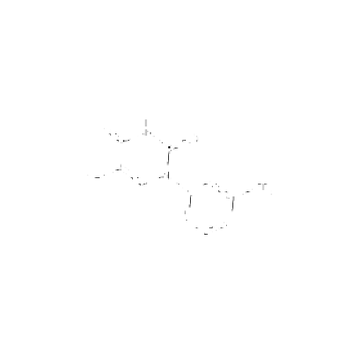 O=c1[nH]c(=O)n(-c2cccc(C(F)(F)F)c2)cc1Br